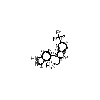 CCc1nc2ccc(C(F)(F)F)nc2n1-c1ccc2[nH]ncc2c1